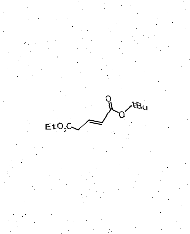 CCOC(=O)C/C=C/C(=O)OC(C)(C)C